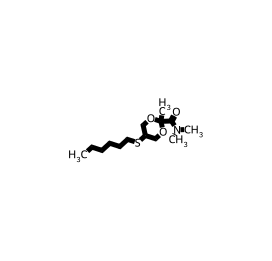 CCCCCCSC1COC(C)(C(=O)N(C)C)OC1